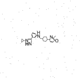 COc1ccc(C2CCC(CNc3cccc(/C(C=N)=C/NC4CC4)c3)CC2)nc1C